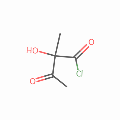 CC(=O)C(C)(O)C(=O)Cl